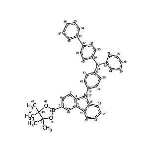 CC1(C)OB(c2ccc3c(c2)c2ccccc2n3-c2ccc(N(c3ccccc3)c3ccc(-c4ccccc4)cc3)cc2)OC1(C)C